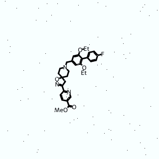 CCOc1cc(CN2CCC3(CC2)CC(c2ccc(C(=O)OC)cn2)=NO3)cc(OCC)c1-c1ccc(F)cc1